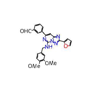 COc1ccc(CNc2nc(-c3cccc(C=O)c3)cc3nc(-c4ccco4)nn23)cc1OC